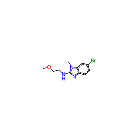 COCCNc1nc2ccc(Br)cc2n1C